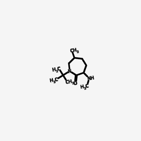 CNC1CCC(C)CN(C(C)(C)C)C1=O